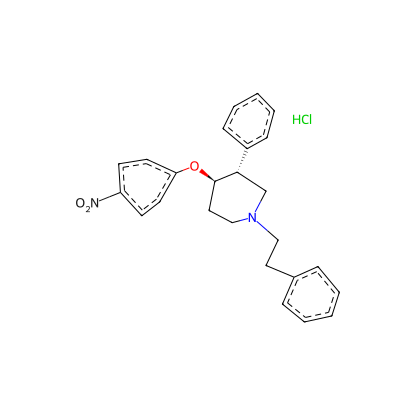 Cl.O=[N+]([O-])c1ccc(O[C@@H]2CCN(CCc3ccccc3)C[C@H]2c2ccccc2)cc1